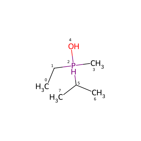 CC[PH](C)(O)C(C)C